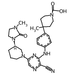 CN1CCN([C@@H]2CCCN(c3cnc(C#N)c(Nc4ccc(C5(C)CCN(C(=O)O)CC5)cc4)n3)C2)C1=O